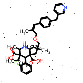 CC(=Cc1ccc(Cc2cccnc2)cc1)COCC(C)(C)CC1(C(=O)O)C(C)NC(C)C(C(=O)O)(C(C)C)C1c1ccccc1F